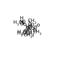 C=CCOC(=O)Nc1cc(OCc2ccccc2)c(OC)cc1C(=O)N1CCC(c2ccc(S(=O)(=O)NC)cc2)=C[C@H]1CO[Si](C)(C)C(C)(C)C